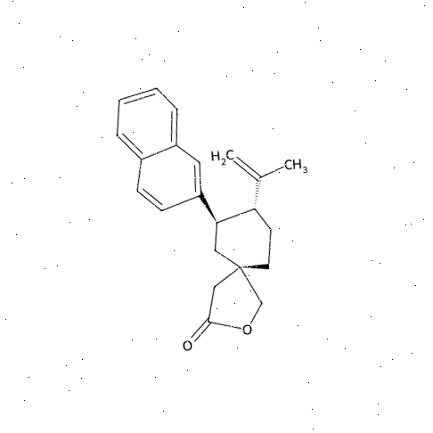 C=C(C)[C@@H]1CC[C@]2(COC(=O)C2)C[C@H]1c1ccc2ccccc2c1